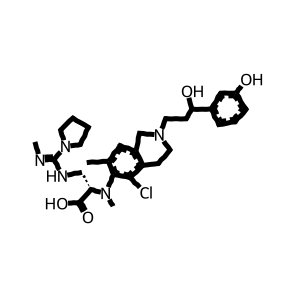 C/N=C(/NC[C@@H](C(=O)O)N(C)c1c(C)cc2c(c1Cl)CCN(CCC(O)c1cccc(O)c1)C2)N1CCCC1